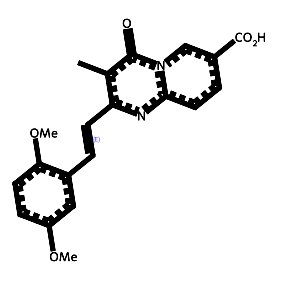 COc1ccc(OC)c(/C=C/c2nc3ccc(C(=O)O)cn3c(=O)c2C)c1